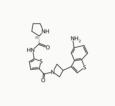 Nc1ccc2scc(C3CN(C(=O)c4ccc(NC(=O)[C@@H]5CCCN5)s4)C3)c2c1